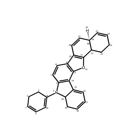 C1=CCCC(N2c3ccc4c5c(oc4c3C3=CC=CCC32)C2CCC=C[C@@H]2C=C5)=C1